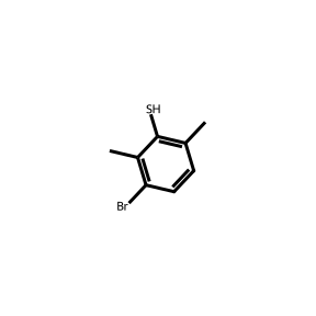 Cc1ccc(Br)c(C)c1S